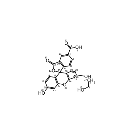 CCO.O=C(O)c1ccc2c(c1)C(=O)OC21c2ccc(O)cc2Oc2cc(O)ccc21